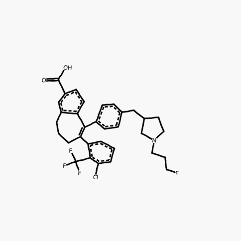 O=C(O)c1ccc2c(c1)CCCC(c1cccc(Cl)c1C(F)(F)F)=C2c1ccc(CC2CCN(CCCF)C2)cc1